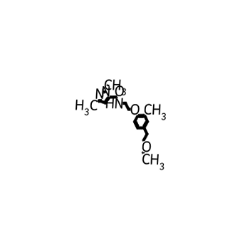 CCOCCc1ccc(OCCNC(=O)c2cc(C)nn2C)c(C)c1